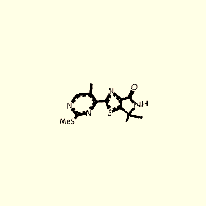 CSc1ncc(C)c(-c2nc3c(s2)C(C)(C)NC3=O)n1